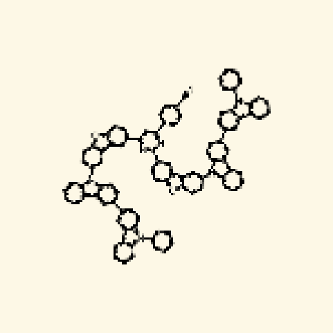 N#Cc1ccc(-c2cc(-c3ccc4oc5ccc(-n6c7ccccc7c7cc(-c8ccc9c(c8)c8ccccc8n9-c8ccccc8)ccc76)cc5c4c3)nc(-c3ccc4oc5ccc(-n6c7ccccc7c7cc(-c8ccc9c(c8)c8ccccc8n9-c8ccccc8)ccc76)cc5c4c3)n2)cc1